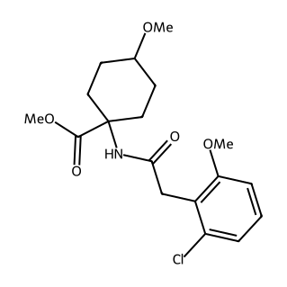 COC(=O)C1(NC(=O)Cc2c(Cl)cccc2OC)CCC(OC)CC1